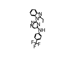 CCc1nc2ccccc2n1-c1nncc(Nc2ccc(C(F)(F)F)cc2)n1